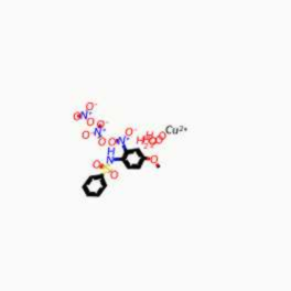 COc1ccc(NS(=O)(=O)c2ccccc2)c([N+](=O)[O-])c1.O.O.O.O=[N+]([O-])[O-].O=[N+]([O-])[O-].[Cu+2]